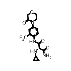 NC(=O)[C@H](NC1CC1)C(=O)Nc1ccc(N2CCOCC2=O)cc1C(F)(F)F